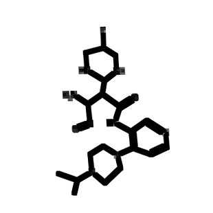 CC(C)N1CCN(c2ccncc2NC(=O)C(C(N)N=O)C2NCC(F)CN2)CC1